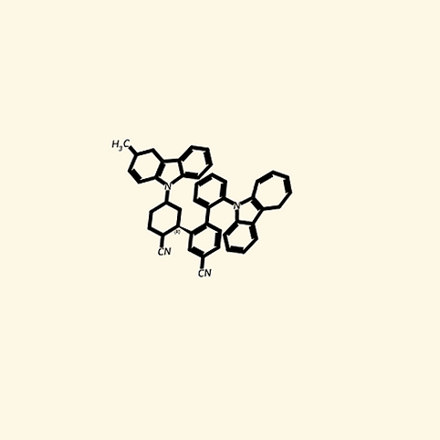 CC1C=Cc2c(c3ccccc3n2C2CCC(C#N)[C@H](c3cc(C#N)ccc3-c3ccccc3-n3c4c(c5ccccc53)CC=CC=C4)C2)C1